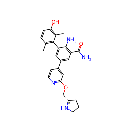 Cc1ccc(O)c(C)c1-c1cc(-c2ccnc(OC[C@@H]3CCCN3)c2)cc(C(N)=O)c1N